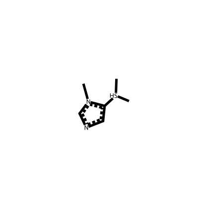 Cn1cncc1[SH](C)C